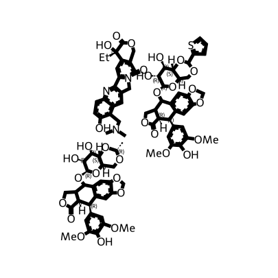 CC[C@@]1(O)C(=O)OCc2c1cc1n(c2=O)Cc2cc3c(CN(C)C)c(O)ccc3nc2-1.COc1cc([C@@H]2c3cc4c(cc3C(O[C@@H]3O[C@@H]5COC(c6cccs6)O[C@H]5[C@H](O)[C@H]3O)C3COC(=O)[C@@H]32)OCO4)cc(OC)c1O.COc1cc([C@@H]2c3cc4c(cc3C(O[C@@H]3O[C@@H]5CO[C@@H](C)O[C@H]5[C@H](O)[C@H]3O)C3COC(=O)[C@@H]32)OCO4)cc(OC)c1O